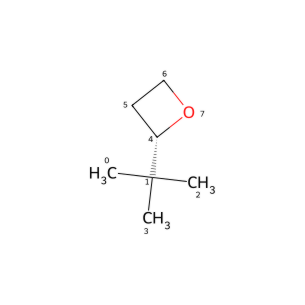 CC(C)(C)[C@@H]1CCO1